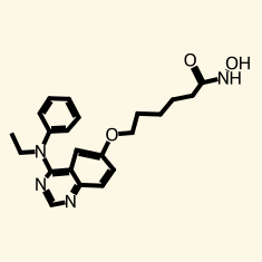 CCN(c1ccccc1)c1ncnc2ccc(OCCCCCC(=O)NO)cc12